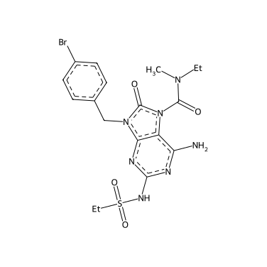 CCN(C)C(=O)n1c(=O)n(Cc2ccc(Br)cc2)c2nc(NS(=O)(=O)CC)nc(N)c21